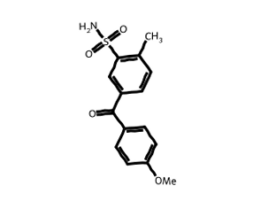 COc1ccc(C(=O)c2ccc(C)c(S(N)(=O)=O)c2)cc1